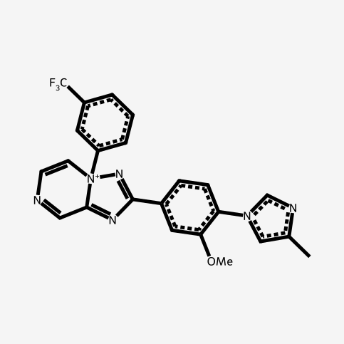 COc1cc(C2=N[N+]3(c4cccc(C(F)(F)F)c4)C=CN=CC3=N2)ccc1-n1cnc(C)c1